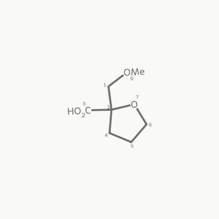 COCC1(C(=O)O)CCCO1